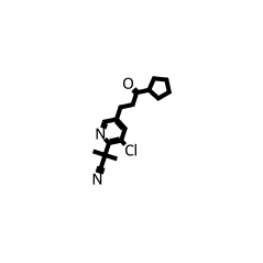 CC(C)(C#N)c1ncc(CCC(=O)C2CCCC2)cc1Cl